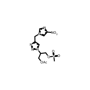 CC(=O)OCC(COS(C)(=O)=O)n1cc(Cn2cnc([N+](=O)[O-])c2)nn1